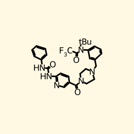 CC(C)(C)N(C(=O)C(F)(F)F)c1cccc(CN2CCN(C(=O)c3ccc(NC(=O)Nc4ccccc4)nc3)CC2)c1